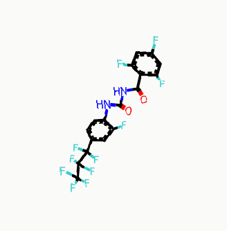 O=C(NC(=O)c1c(F)cc(F)cc1F)Nc1ccc(C(F)(F)C(F)(F)C(F)(F)F)cc1F